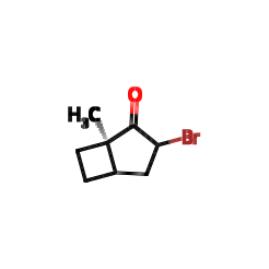 C[C@@]12CCC1CC(Br)C2=O